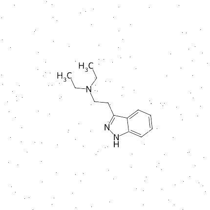 CCN(CC)CCc1n[nH]c2ccccc12